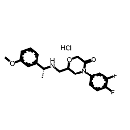 COc1cccc([C@@H](C)NCC2CN(c3ccc(F)c(F)c3)C(=O)CO2)c1.Cl